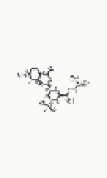 CCC(CCN(CC)CC)c1cc(S(C)(=O)=O)cc(-c2nc(=O)c3ccc(Cl)cc3s2)n1